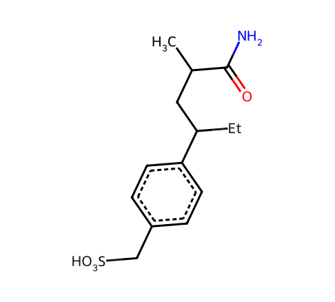 CCC(CC(C)C(N)=O)c1ccc(CS(=O)(=O)O)cc1